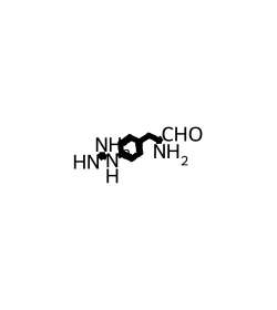 N=C(N)Nc1ccc(CC(N)C=O)cc1